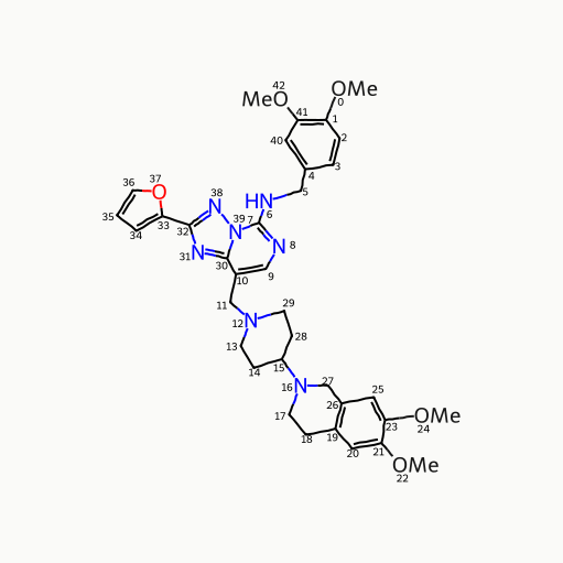 COc1ccc(CNc2ncc(CN3CCC(N4CCc5cc(OC)c(OC)cc5C4)CC3)c3nc(-c4ccco4)nn23)cc1OC